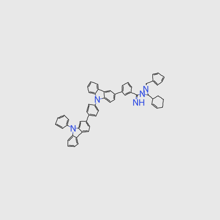 N=C(c1cccc(-c2ccc3c(c2)c2ccccc2n3-c2ccc(-c3ccc4c5ccccc5n(-c5ccccc5)c4c3)cc2)c1)N1C(C2C=CCCC2)[N@]1Cc1ccccc1